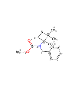 CC(C)(C)OC(=O)N(Cc1ccccc1)C1(C(=O)O)CCC1(C)C